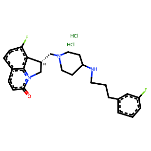 Cl.Cl.O=c1ccc2ccc(F)c3c2n1C[C@H]3CN1CCC(NCCCc2cccc(F)c2)CC1